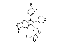 Cc1cc(-n2c(C3CCOCC3)c(C3CO[C@](C)(C(=O)O)C3)c3nc4[nH]ncc4cc32)ccc1F